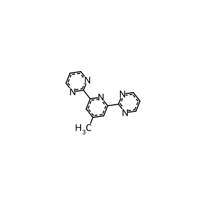 Cc1cc(-c2ncccn2)nc(-c2ncccn2)c1